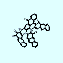 O=C1C(=O)c2cc3ccccc3cc2C=C1Nc1cc2c(c(NC3=Cc4cc5ccccc5cc4C(=O)C3=O)c1NC1=Cc3cc4ccccc4cc3C(=O)C1=O)C(=O)c1ccccc1C2=O